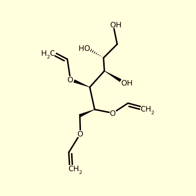 C=COC[C@H](OC=C)[C@@H](OC=C)[C@H](O)[C@H](O)CO